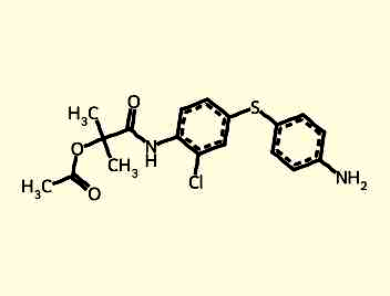 CC(=O)OC(C)(C)C(=O)Nc1ccc(Sc2ccc(N)cc2)cc1Cl